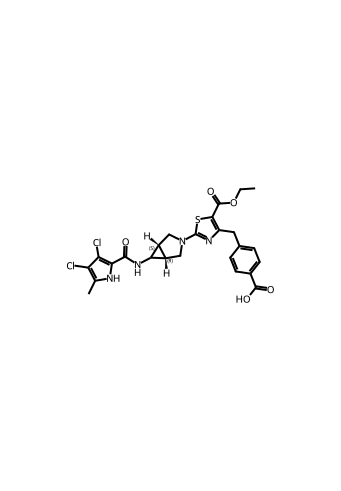 CCOC(=O)c1sc(N2C[C@@H]3C(NC(=O)c4[nH]c(C)c(Cl)c4Cl)[C@@H]3C2)nc1Cc1ccc(C(=O)O)cc1